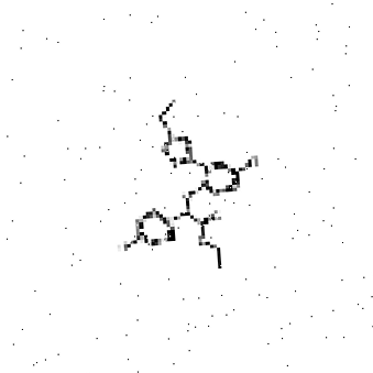 CCOC(=O)C(Oc1ccc(Cl)cc1-c1ccn(CC)n1)c1ccc(Cl)cc1